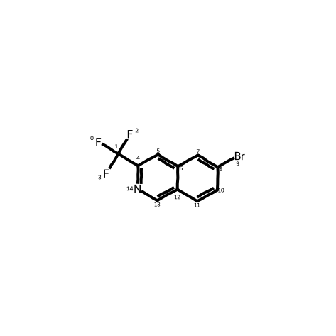 FC(F)(F)c1cc2cc(Br)ccc2cn1